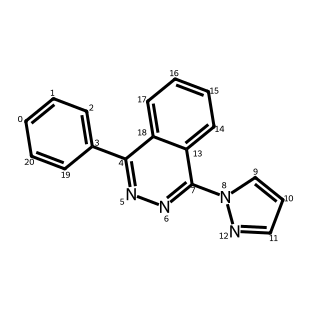 c1ccc(-c2nnc(-n3cccn3)c3ccccc23)cc1